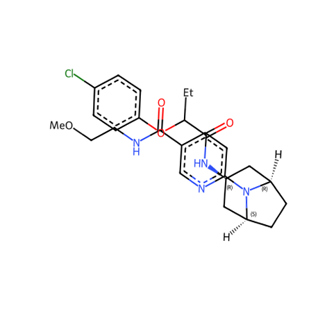 CCC(Oc1ccc(Cl)cc1)C(=O)N[C@H]1C[C@H]2CC[C@@H](C1)N2c1ccc(C(=O)NCCOC)cn1